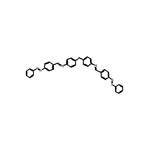 C(=Nc1ccc(Cc2ccc(N=Cc3ccc(N=Nc4ccccc4)cc3)cc2)cc1)c1ccc(N=Nc2ccccc2)cc1